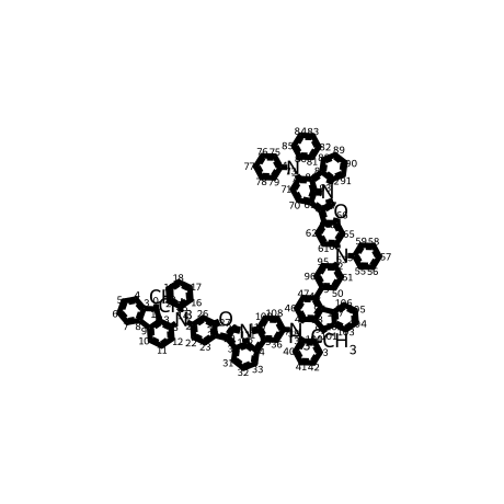 CC1(C)c2ccccc2-c2cccc(N(c3ccccc3)c3ccc4c(c3)oc3c4c4cccc5c6cc(N(c7ccccc7)c7ccc(-c8ccc(N(c9ccccc9)c9ccc%10c(c9)oc9c%10c%10ccc(N(c%11ccccc%11)c%11ccccc%11)c%11c%12ccccc%12n9c%10%11)cc8)c8c7C(C)(C)c7ccccc7-8)ccc6n3c54)c21